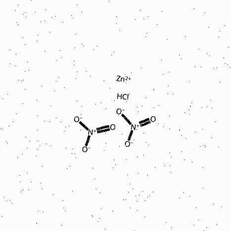 Cl.O=[N+]([O-])[O-].O=[N+]([O-])[O-].[Zn+2]